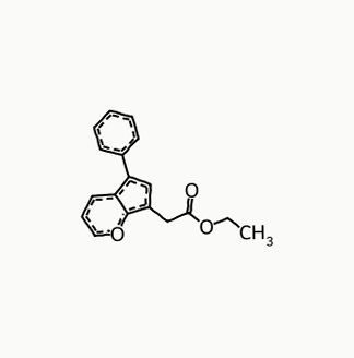 CCOC(=O)Cc1cc(-c2ccccc2)c2cccoc1-2